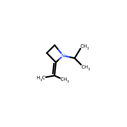 CC(C)=C1CCN1C(C)C